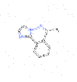 Cc1nn2ccnc2c2ccccc12